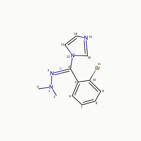 CN(C)/N=C(\c1ccccc1Br)n1ccnc1